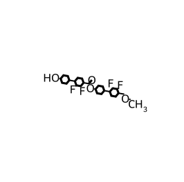 CCOCc1ccc(-c2ccc(OC(=O)c3ccc(-c4ccc(O)cc4)c(F)c3F)cc2)c(F)c1F